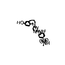 C=C(/N=C(\C=C/N)N1CCCc2cc(O)ccc21)Nc1ccc(S(=O)(=O)NC)cc1